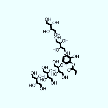 CCC(=O)Oc1ccccc1O.OC[C@@H](O)[C@@H](O)CO.OC[C@@H](O)[C@@H](O)CO.OC[C@@H](O)[C@@H](O)CO.OC[C@@H](O)[C@@H](O)CO.OC[C@@H](O)[C@@H](O)CO